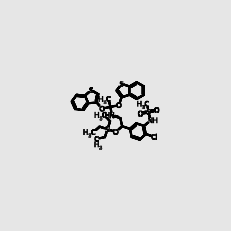 CC[Si](CC)(CC)OC(CNC(C)(Oc1csc2ccccc12)Oc1csc2ccccc12)c1ccc(Cl)c(NS(C)(=O)=O)c1